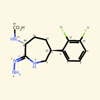 N/N=C1\NC[C@H](c2cccc(F)c2F)CC[C@H]1NC(=O)O